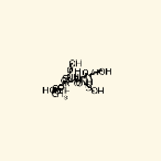 CP(=O)(O)O[C@H]1CC[C@@H](C(=O)NC(CCC(=O)NC(CCC(=O)NCCOCCO)C(=O)NCCOCCO)C(=O)NCCOCCO)CC1